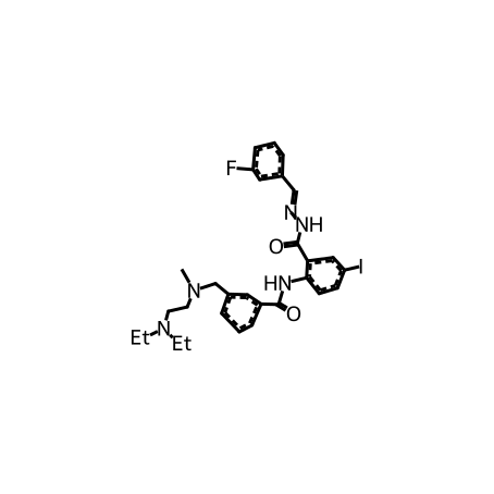 CCN(CC)CCN(C)Cc1cccc(C(=O)Nc2ccc(I)cc2C(=O)N/N=C/c2cccc(F)c2)c1